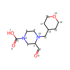 O=CC1CN(C(=O)O)CCN1CC1CCOCC1